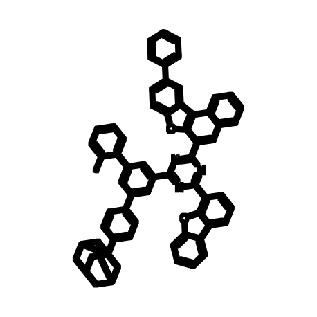 Cc1ccccc1-c1cc(-c2ccc(C34CC5CC(CC(C5)C3)C4)cc2)cc(-c2nc(-c3cccc4c3oc3ccccc34)nc(-c3cc4ccccc4c4c3oc3ccc(-c5ccccc5)cc34)n2)c1